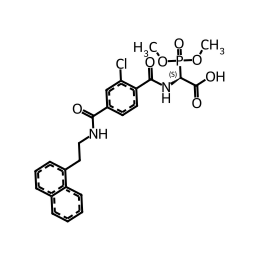 COP(=O)(OC)[C@H](NC(=O)c1ccc(C(=O)NCCc2cccc3ccccc23)cc1Cl)C(=O)O